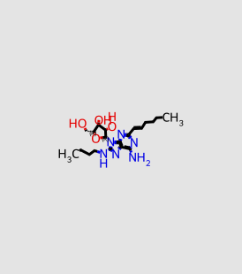 CCCCC=Cc1nc(N)c2nc(NCCCC)n([C@@H]3O[C@H](CO)C(O)C3O)c2n1